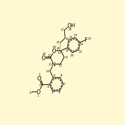 COC(=O)c1ccccc1CN1CC[C@](CCCO)(c2ccc(F)cc2)OC1=O